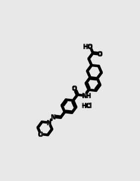 Cl.O=C(O)CC1CCc2ccc(NC(=O)c3ccc(C=NN4CCOCC4)cc3)cc2C1